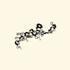 CC[C@H](C)[C@@H]([C@H](CC(=O)N1CCC[C@H]1[C@H](OC)[C@@H](C)C(=O)N[C@@H](Cc1ccccc1)C(=O)NS(=O)(=O)CCCn1cc(CN2C(=O)C=CC2=O)nn1)OC)N(C)C(=O)[C@@H](Nc1nccc(C)n1)C(C)C